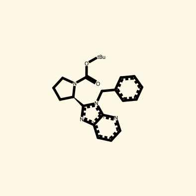 CC(C)(C)OC(=O)N1CCC[C@@H]1c1nc2cccnc2n1Cc1ccccc1